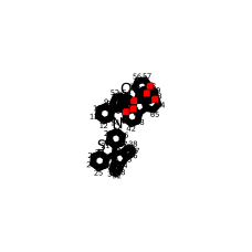 c1ccc(-c2ccc(-c3ccccc3N(c3ccc4c(c3)Sc3ccccc3C43c4ccccc4-c4ccccc43)c3ccc4c(c3)C3(c5ccccc5Oc5ccccc53)c3ccccc3-4)cc2)cc1